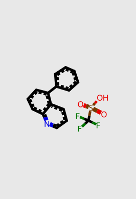 O=S(=O)(O)C(F)(F)F.c1ccc(-c2cccc3ncccc23)cc1